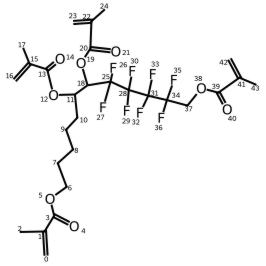 C=C(C)C(=O)OCCCCCC(OC(=O)C(=C)C)C(OC(=O)C(=C)C)C(F)(F)C(F)(F)C(F)(F)C(F)(F)COC(=O)C(=C)C